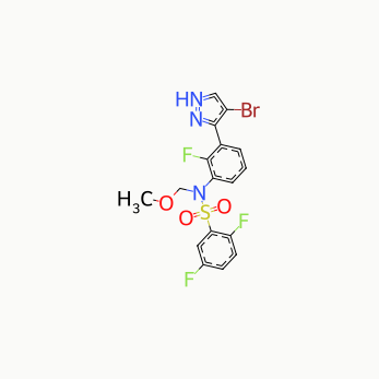 COCN(c1cccc(-c2n[nH]cc2Br)c1F)S(=O)(=O)c1cc(F)ccc1F